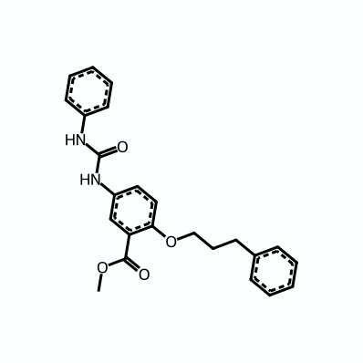 COC(=O)c1cc(NC(=O)Nc2ccccc2)ccc1OCCCc1ccccc1